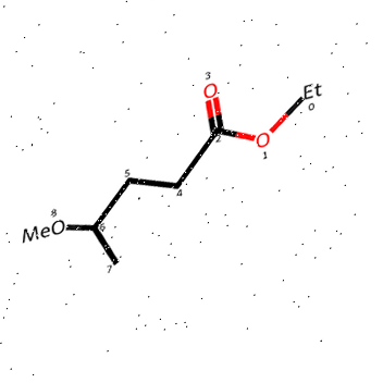 CCOC(=O)CCC(C)OC